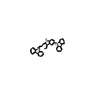 C\C=c1/c(=C\C=C\n2c3ccccc3c3ccccc32)sc2ccc(-n3c4ccccc4c4ccccc43)cc12